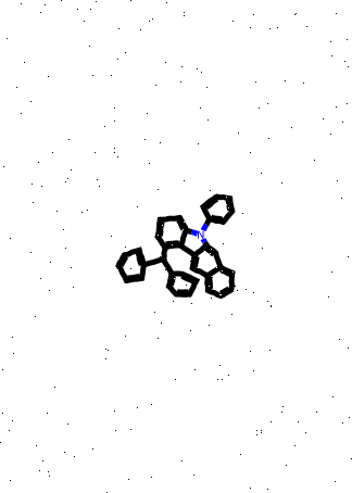 c1ccc(C(c2ccccc2)c2cccc3c2c2cc4ccccc4cc2n3-c2ccccc2)cc1